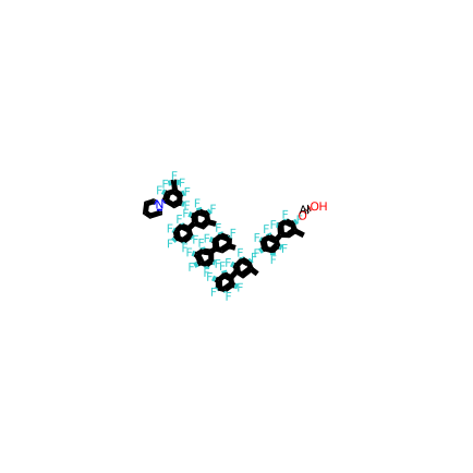 Cc1cc(-c2c(F)c(F)c(F)c(F)c2F)c(F)c(F)c1F.Cc1cc(-c2c(F)c(F)c(F)c(F)c2F)c(F)c(F)c1F.Cc1cc(-c2c(F)c(F)c(F)c(F)c2F)c(F)c(F)c1F.Cc1cc(-c2c(F)c(F)c(F)c(F)c2F)c(F)c(F)c1F.Fc1cc(N2CCCCC2)c(F)c(C(F)(F)F)c1F.[O]=[Al][OH]